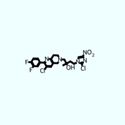 CC(O)(CCn1cc([N+](=O)[O-])nc1Cl)CN1CCc2nc(-c3ccc(F)c(F)c3)c(Cl)cc2C1